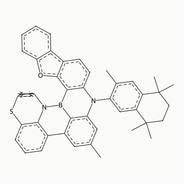 Cc1cc2c3c(c1)N(c1cc4c(cc1C)C(C)(C)CCC4(C)C)c1ccc4c(oc5ccccc54)c1B3N1c3ccccc3Sc3cccc-2c31